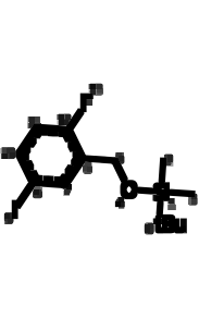 CC(C)(C)[Si](C)(C)OCc1cc(I)ccc1F